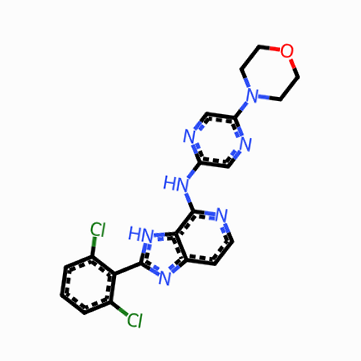 Clc1cccc(Cl)c1-c1nc2ccnc(Nc3cnc(N4CCOCC4)cn3)c2[nH]1